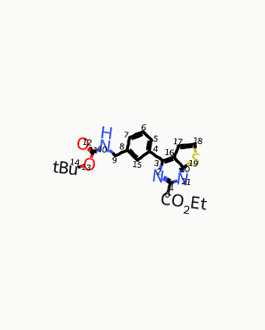 CCOC(=O)c1nc(-c2cccc(CNC(=O)OC(C)(C)C)c2)c2ccsc2n1